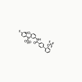 O=C(Nc1ccc(O)c(N(c2ccc(F)cc2)[SH](=O)=O)c1)c1ccc(-c2ccccc2OC(F)(F)F)cc1